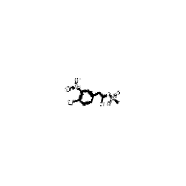 CS(=O)(=O)OC(Cl)Cc1ccc(Cl)c([N+](=O)[O-])c1